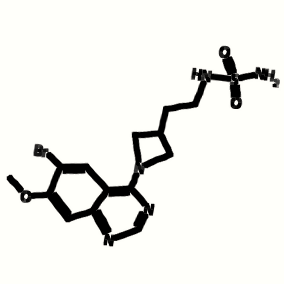 COc1cc2ncnc(N3CC(CCNS(N)(=O)=O)C3)c2cc1Br